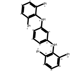 CC(C)c1cccc(C(C)C)c1Nc1cccc(Nc2c(C(C)C)cccc2C(C)C)c1